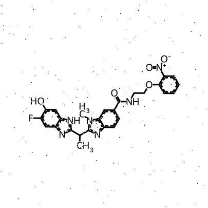 CC(c1nc2cc(F)c(O)cc2[nH]1)c1nc2ccc(C(=O)NCCOc3ccccc3[N+](=O)[O-])cc2n1C